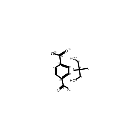 CC(C)(CO)CO.O=C(Cl)c1ccc(C(=O)Cl)cc1